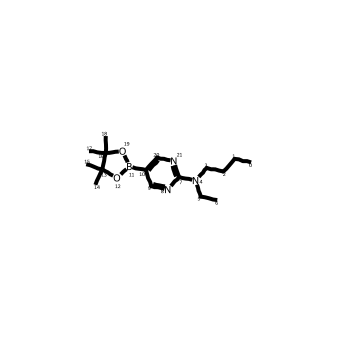 CCCCN(CC)c1ncc(B2OC(C)(C)C(C)(C)O2)cn1